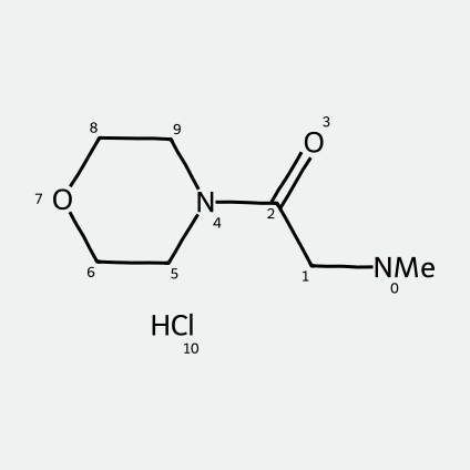 CNCC(=O)N1CCOCC1.Cl